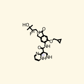 CC(C)(O)[C@H](F)CN1Cc2cc(NC(=O)/C(C=N)=C3\N=CC=CN3)c(OCC3CC3)cc2C1=O